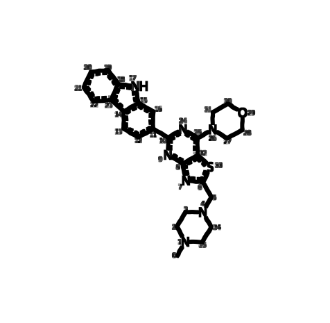 CN1CCN(Cc2nc3nc(-c4ccc5c(c4)[nH]c4ccccc45)nc(N4CCOCC4)c3s2)CC1